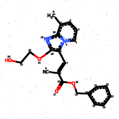 Cc1cccn2c(C=C(C#N)C(=O)OCc3ccccc3)c(OCCO)nc12